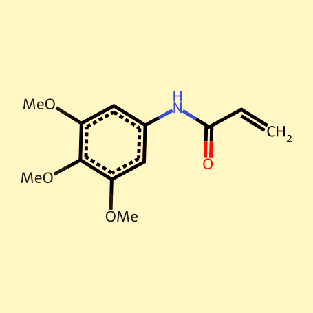 C=CC(=O)Nc1cc(OC)c(OC)c(OC)c1